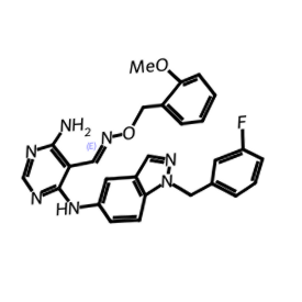 COc1ccccc1CO/N=C/c1c(N)ncnc1Nc1ccc2c(cnn2Cc2cccc(F)c2)c1